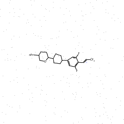 CCCC1CCC(C2CCC(c3cc(F)c(/C=C/C(F)(F)F)c(F)c3)CC2)OC1